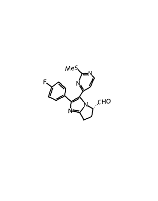 CSc1nccc(-c2c(-c3ccc(F)cc3)nc3n2[C@H](C=O)CC3)n1